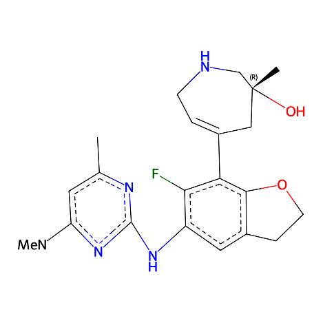 CNc1cc(C)nc(Nc2cc3c(c(C4=CCNC[C@](C)(O)C4)c2F)OCC3)n1